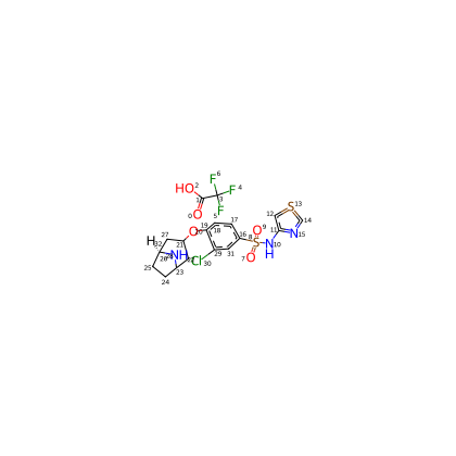 O=C(O)C(F)(F)F.O=S(=O)(Nc1cscn1)c1ccc(OC2CC3CC[C@@H](C2)N3)c(Cl)c1